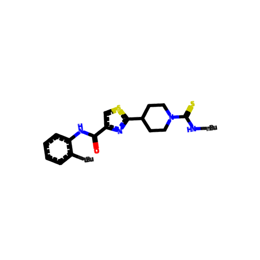 CCCCNC(=S)N1CCC(c2nc(C(=O)Nc3ccccc3C(C)(C)C)cs2)CC1